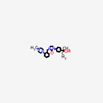 CN1CCN(c2ccccc2CN2CCN(c3ccc(C(C)(C)O)cc3)C2=O)CC1